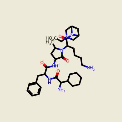 CC1CC(NC(=O)C(Cc2ccccc2)NC(=O)C(N)C2CCCCC2)C(=O)N1C(CCCCN)C(=O)N1C2CC1CN(CC(=O)O)C2